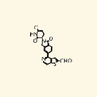 O=Cc1cc2c(-c3ccc4c(c3)CN(C3CCC(=O)NC3=O)C4=O)nccc2s1